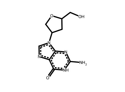 Nc1nc2c(ncn2C2COC(CO)C2)c(=O)[nH]1